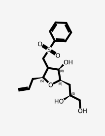 C=CC[C@@H]1O[C@H](C[C@H](O)CO)[C@H](O)C1CS(=O)(=O)c1ccccc1